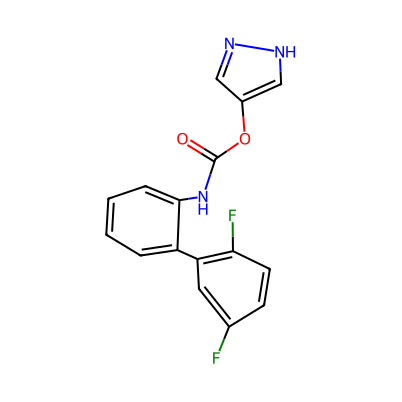 O=C(Nc1ccccc1-c1cc(F)ccc1F)Oc1cn[nH]c1